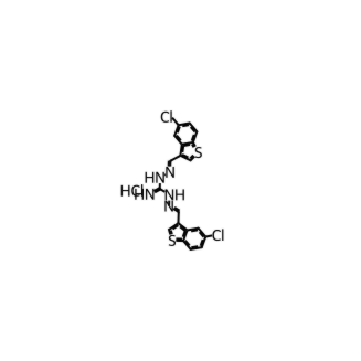 Cl.N=C(NN=Cc1csc2ccc(Cl)cc12)NN=Cc1csc2ccc(Cl)cc12